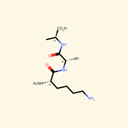 CC(=O)N[C@@H](CCCCN)C(=O)N[C@H](C(=O)N[C@@H](C)C(=O)O)C(C)C